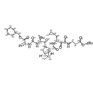 CC(C)[C@H](NC(=O)N[C@H](C(=O)N1C[C@H]2[C@@H]([C@H]1C(=O)N[C@@H](CC1CC1)C(=O)C(=O)NCCC(=O)OC(C)(C)C)C2(C)C)C(C)(C)C)C(=O)OCc1ccccc1